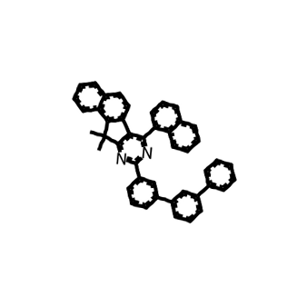 CC1(C)c2nc(-c3cccc(-c4cccc(-c5ccccc5)c4)c3)nc(-c3cccc4ccccc34)c2-c2ccc3ccccc3c21